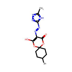 Cc1nnc(N=NC2=C(O)OC3(CCC(C(C)C)CC3)OC2=O)[nH]1